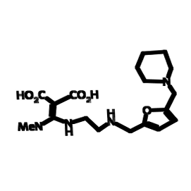 CNC(NCCNCc1ccc(CN2CCCCC2)o1)=C(C(=O)O)C(=O)O